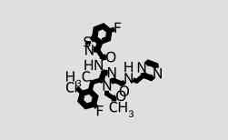 CC(=O)Cn1c(C(=O)NCc2cnccn2)nc(NC(=O)c2nsc3ccc(F)cc23)c1[C@@H](C)c1cc(F)ccc1Cl